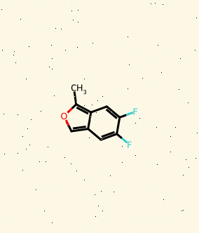 Cc1occ2cc(F)c(F)cc12